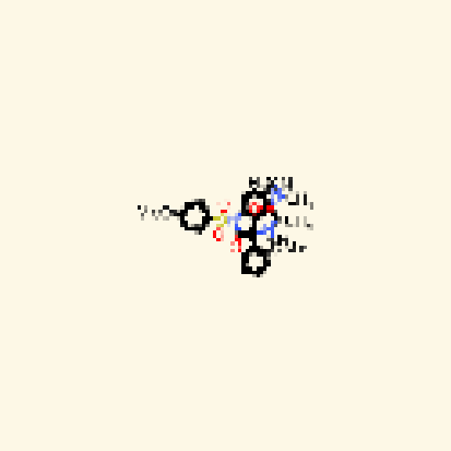 COc1ccc(S(=O)(=O)N2C(=O)C(c3ccccc3OC)(N(C)[C@@H](C)C(=O)N(C)C)c3cc(C#N)ccc32)cc1